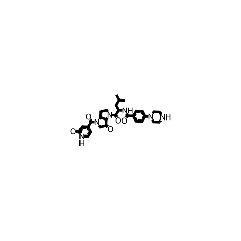 CC(C)CC(NC(=O)c1ccc(N2CCNCC2)cc1)C(=O)N1CCC2C1C(=O)CN2C(=O)c1cc[nH]c(=O)c1